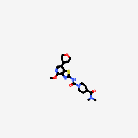 COc1ncc(C2=CCOCC2)c2sc(NC(=O)N3CCC(C(=O)N(C)C)CC3)nc12